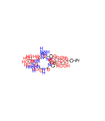 CC(C)c1ccc(C2OCC3OC(OC4C(CO)OC(Oc5ccc(CC6NC(=O)C(C)N(c7ccccc7)CC(=O)CNC(=O)C(CO)NC(=O)C(C(O)C7CNC(=N)N7C7OC(CO)C(O)C(O)C7O)NC(=O)C(C(O)C7CNC(=N)N7)NC6=O)cc5)C(O)C4O)C(O)C(O)C3O2)cc1